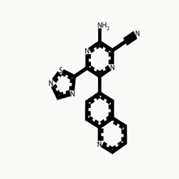 N#Cc1nc(-c2ccc3ncccc3c2)c(-c2ncns2)nc1N